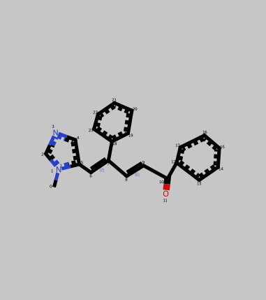 Cn1cncc1/C=C(/C=C/C(=O)c1ccccc1)c1ccccc1